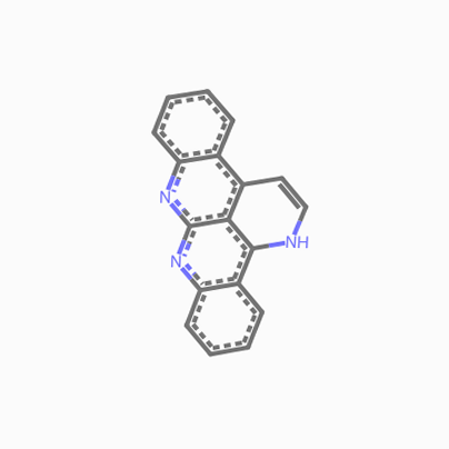 C1=Cc2c3ccccc3nc3nc4ccccc4c(c23)N1